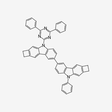 c1ccc(-c2nc(-c3ccccc3)nc(-n3c4ccc(-c5ccc6c(c5)c5cc7c(cc5n6-c5ccccc5)CC7)cc4c4cc5c(cc43)CC5)n2)cc1